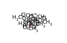 Cc1cc(C)c(B([C]2CC=Cc3ccc(B(c4c(C)cc(C)c(Cl)c4C)c4c(C)cc(C)c(Cl)c4C)cc32)c2c(C)cc(C)c(Cl)c2C)c(C)c1Cl